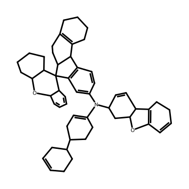 C1=CC2OC3CCCCC3C3(c4cc(N(C5=CCC(C6CC=CCC6)CC5)C5C=CC6C7=C(C=CCC7)OC6C5)ccc4C4C5=C(CCCC5)CCC43)C2C=C1